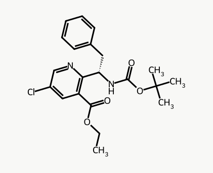 CCOC(=O)c1cc(Cl)cnc1[C@H](Cc1ccccc1)NC(=O)OC(C)(C)C